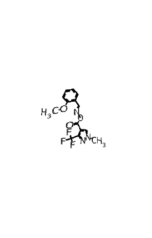 COc1ccccc1/C=N/OC(=O)c1cn(C)nc1C(F)(F)F